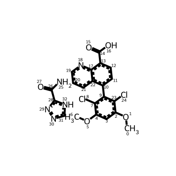 COc1cc(OC)c(Cl)c(-c2ccc(C(=O)O)c3ncccc23)c1Cl.NC(=O)c1nnc[nH]1